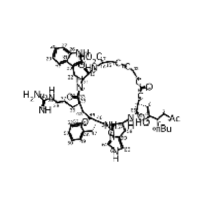 CCCC[C@H](CC(C)=O)C(O)C[C@H]1CC(=O)CCCCC[C@@H](C(=O)O)NC(=O)[C@H](Cc2c[nH]c3ccccc23)NC(=O)[C@H](CCCNC(=N)N)CC(=O)[C@@H](Cc2ccccc2)NC(=O)C(Cc2c[nH]cn2)NC1=O